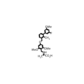 COc1cc(F)cc(-c2cccc(COc3cc(OC)c(CN[C@H](C)C(=O)O)c(OC)c3)c2C)c1